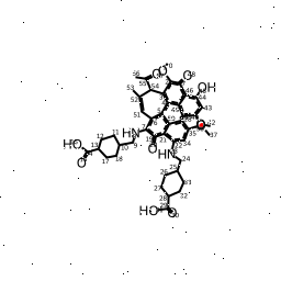 COc1c2c3c4c(c(NCC5CCC(C(=O)O)CC5)c(=O)c5c(NCC6CCC(C(=O)O)CC6)cc(OC)c(c6c(OC)cc(O)c(c1=O)c63)c54)C=C(C)C2C(C)=O